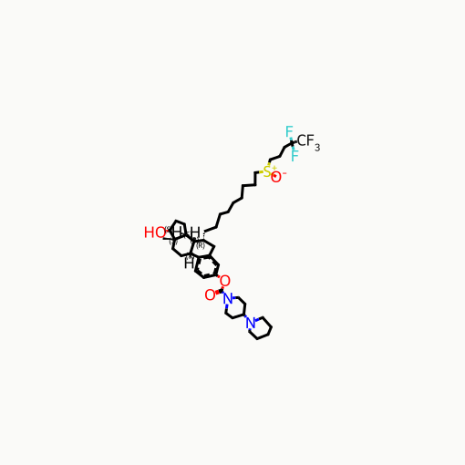 C[C@]12CC[C@@H]3c4ccc(OC(=O)N5CCC(N6CCCCC6)CC5)cc4C[C@@H](CCCCCCCCC[S+]([O-])CCCC(F)(F)C(F)(F)F)[C@H]3[C@@H]1CC[C@@H]2O